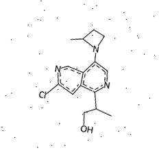 CC(CO)c1ncc(N2CCC2C)c2cnc(Cl)cc12